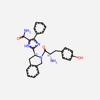 NC(=O)c1[nH]c([C@@H]2Cc3ccccc3CN2C(=O)[C@@H](N)Cc2ccc(O)cc2)nc1-c1ccccc1